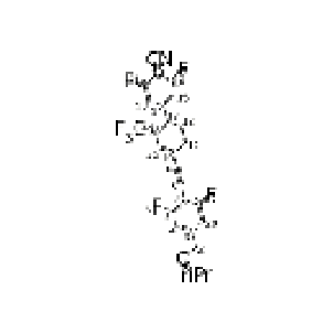 CCCOCc1cc(F)c(C#Cc2ccc(-c3cc(F)c(C#N)c(F)c3)c(C(F)(F)F)c2)c(F)c1